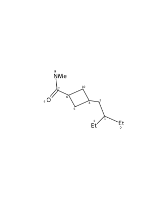 CCC(CC)CC1CC(C(=O)NC)C1